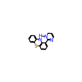 CN1CC=CN=C1c1cccc2c1Nc1ccccc1S2